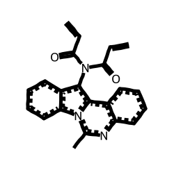 C=CC(=O)N(C(=O)C=C)c1c2ccccc2n2c(C)nc3ccccc3c12